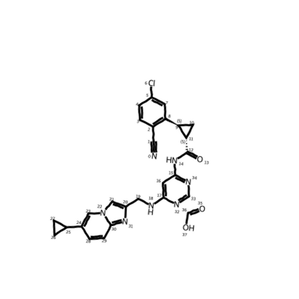 N#Cc1ccc(Cl)cc1[C@H]1C[C@@H]1C(=O)Nc1cc(NCc2cn3cc(C4CC4)ccc3n2)ncn1.O=CO